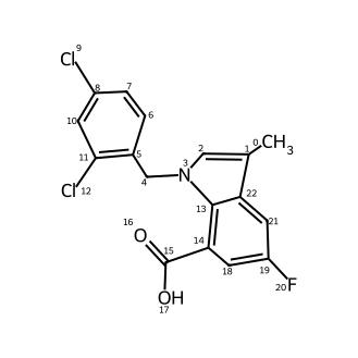 Cc1cn(Cc2ccc(Cl)cc2Cl)c2c(C(=O)O)cc(F)cc12